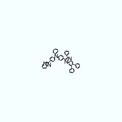 c1ccc(-c2cc3nc(-c4ccccc4)c(-c4ccc(N(c5ccccc5)c5ccc(-c6cn7ccccc7n6)cc5)cc4)nc3cc2-c2ccccc2)cc1